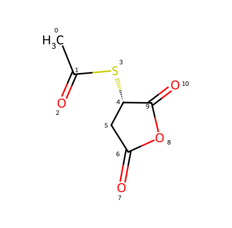 CC(=O)S[C@H]1CC(=O)OC1=O